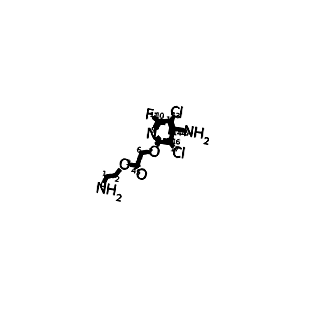 NCCOC(=O)COc1nc(F)c(Cl)c(N)c1Cl